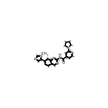 Cn1cncc1-c1ccc2cnc(NC(=O)c3ccnc(N4CCCC4)c3)nc2c1